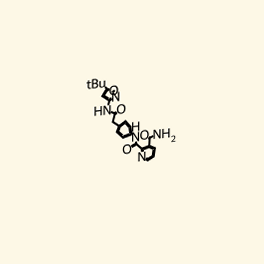 CC(C)(C)c1cc(NC(=O)Cc2ccc(NC(=O)c3ncccc3C(N)=O)cc2)no1